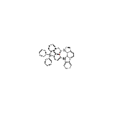 c1ccc(-n2ccc3ccc4c5ccccc5n(-c5ccc([Si](c6ccccc6)(c6ccccc6)c6ccccc6)cc5)c4c32)cc1